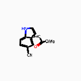 COC(=O)C=O.N#Cc1ccc2[nH]ccc2c1